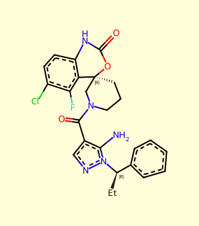 CC[C@H](c1ccccc1)n1ncc(C(=O)N2CCC[C@@]3(C2)OC(=O)Nc2ccc(Cl)c(F)c23)c1N